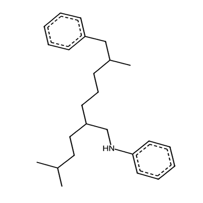 CC(C)CCC(CCCC(C)Cc1ccccc1)CNc1ccccc1